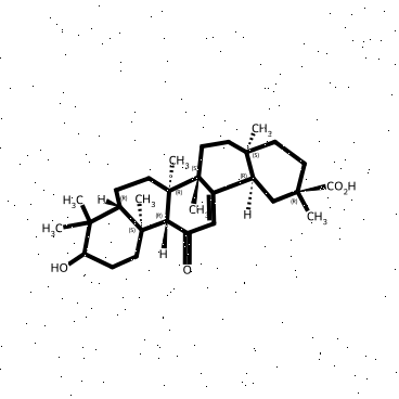 CC1(C)C(O)CC[C@]2(C)[C@H]3C(=O)C=C4[C@@H]5C[C@](C)(C(=O)O)CC[C@]5(C)CC[C@@]4(C)[C@]3(C)CC[C@@H]12